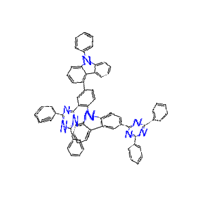 c1ccc(-c2nc(-c3ccccc3)nc(-c3ccc4c(c3)c3ccccc3n4-c3ccc(-c4cccc5c4c4ccccc4n5-c4ccccc4)cc3-c3nc(-c4ccccc4)nc(-c4ccccc4)n3)n2)cc1